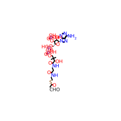 CC(C)(COP(=O)(O)OP(=O)(O)OC[C@H]1O[C@@H](n2cnc3c(N)ncnc32)[C@H](O)[C@@H]1OP(=O)(O)O)[C@@H](O)C(=O)NCCC(=O)NCCSC(=O)CC=O